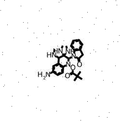 CNC1c2cc(N)ccc2N(OC(=O)C(C)(C)C)C(N2C(=O)Cc3ccccc32)C1(NC)NC